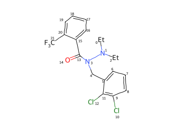 CCN(CC)N(Cc1cccc(Cl)c1Cl)C(=O)c1ccccc1C(F)(F)F